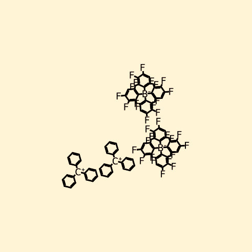 Fc1cc(F)c([B-](c2c(F)cc(F)c(F)c2F)(c2c(F)cc(F)c(F)c2F)c2c(F)cc(F)c(F)c2F)c(F)c1F.Fc1cc(F)c([B-](c2c(F)cc(F)c(F)c2F)(c2c(F)cc(F)c(F)c2F)c2c(F)cc(F)c(F)c2F)c(F)c1F.c1ccc([C+](c2ccccc2)c2ccccc2)cc1.c1ccc([C+](c2ccccc2)c2ccccc2)cc1